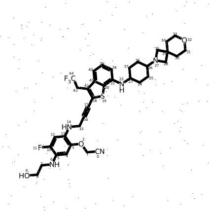 N#CCOc1cc(NCCO)c(F)cc1NCC#Cc1sc2c(NC3CCC(N4CC5(CCOCC5)C4)CC3)cccc2c1CC(F)(F)F